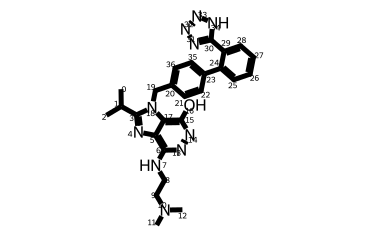 CC(C)c1nc2c(NCCN(C)C)nnc(O)c2n1Cc1ccc(-c2ccccc2-c2nnn[nH]2)cc1